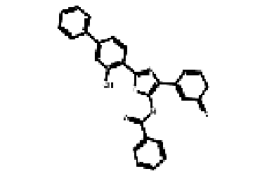 O=C(Nc1oc(-c2ccc(-c3ccccc3)cc2O)nc1C1=CC(=S)CC=C1)c1ccccc1